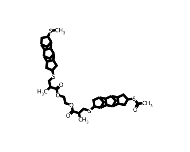 CSC1CC2CC1C1C3CC(C4CC(SCC(C)C(=O)OCCOC(=O)C(C)CSC5CC6CC5C5C7CC(C8CC(SC(C)=O)CC87)C65)CC43)C21